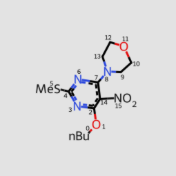 CCCCOc1nc(SC)nc(N2CCOCC2)c1[N+](=O)[O-]